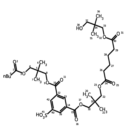 CCCCC(=O)OCC(C)(C)COC(=O)c1cc(C(=O)OCC(C)(C)COC(=O)CCCCC(=O)OCC(C)(C)CO)cc(S(=O)(=O)O)c1